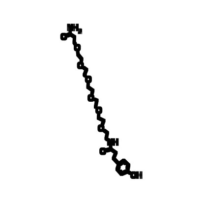 NC(=O)CCOCCOCCOCCOCCOCCOCCNC(=O)CCc1ccc(O)cc1